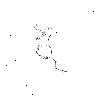 C=CC(=O)OCC.CCCCCCCCCCCCCCCC[N+](C)(C)C